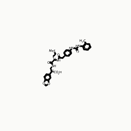 CSCC[C@H](NC(=O)Cc1ccc(NC(=O)Nc2ccccc2C)cc1)C(=O)NC[C@@H](C(=O)O)c1ccc2c(c1)OCO2